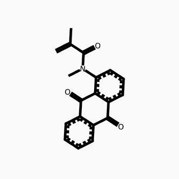 C=C(C)C(=O)N(C)c1cccc2c1C(=O)c1ccccc1C2=O